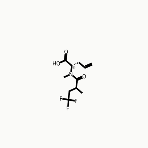 C=CC[C@@H](C(=O)O)N(C)C(=O)C(C)CC(F)(F)F